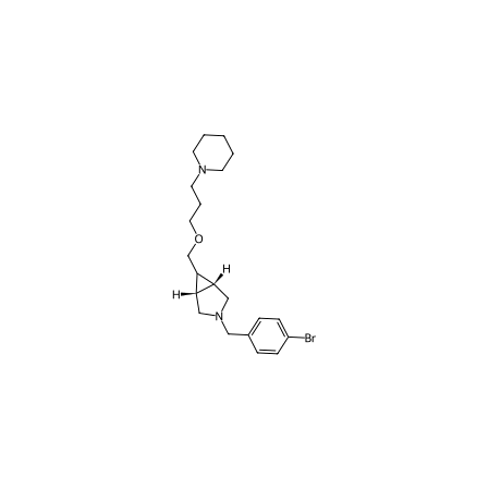 Brc1ccc(CN2C[C@@H]3C(COCCCN4CCCCC4)[C@@H]3C2)cc1